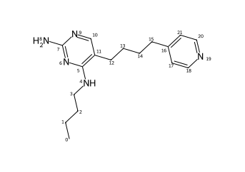 CCCCNc1nc(N)ncc1CCCCc1ccncc1